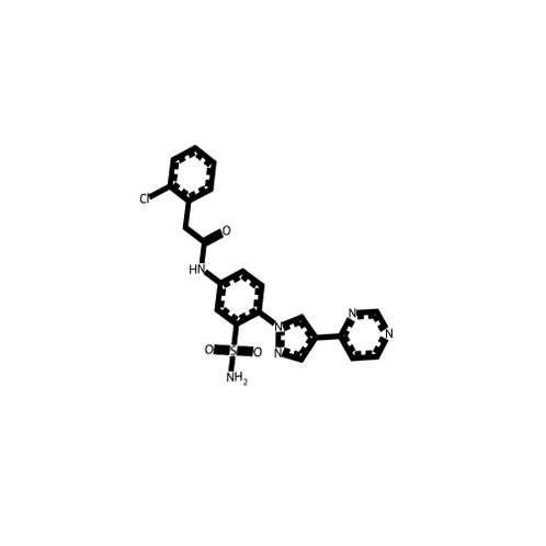 NS(=O)(=O)c1cc(NC(=O)Cc2ccccc2Cl)ccc1-n1cc(-c2ccncn2)cn1